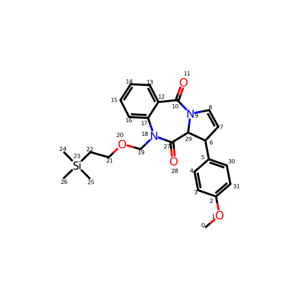 COc1ccc(C2C=CN3C(=O)c4ccccc4N(COCC[Si](C)(C)C)C(=O)C23)cc1